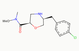 CON(C)C(=O)[C@H]1CN[C@@H](Cc2ccc(Cl)cc2)CO1